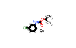 CC(C)OC(=O)Nc1cccc(Cl)c1.[Cu]